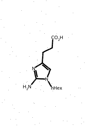 CCCCCCn1cc(CCC(=O)O)nc1N